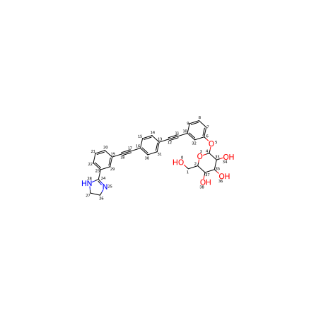 OCC1OC(Oc2cccc(C#Cc3ccc(C#Cc4cccc(C5=NCCN5)c4)cc3)c2)C(O)C(O)C1O